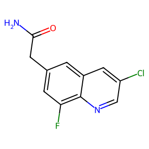 NC(=O)Cc1cc(F)c2ncc(Cl)cc2c1